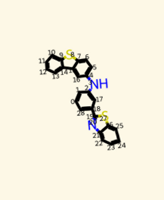 c1cc(Nc2ccc3sc4ccccc4c3c2)cc(-c2nc3ccccc3s2)c1